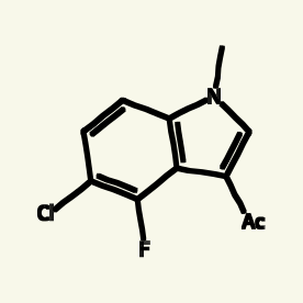 CC(=O)c1cn(C)c2ccc(Cl)c(F)c12